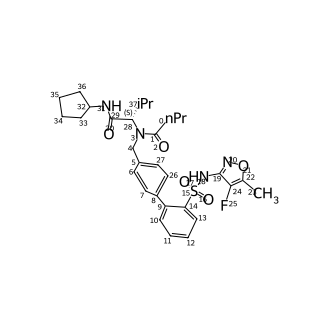 CCCC(=O)N(Cc1ccc(-c2ccccc2S(=O)(=O)Nc2noc(C)c2F)cc1)[C@H](C(=O)NC1CCCC1)C(C)C